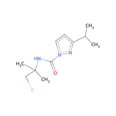 CC(C)c1ccn(C(=O)NC(C)(C)CF)n1